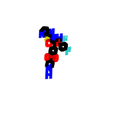 O=C(Nc1nc2cccnc2s1)C(Oc1ccc(F)cc1F)c1ccc(S(=O)(=O)C2CCNCC2)cc1